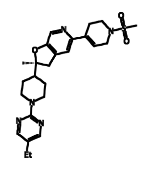 CCc1cnc(N2CCC([C@]3(C)Cc4cc(C5=CCN(S(C)(=O)=O)CC5)ncc4O3)CC2)nc1